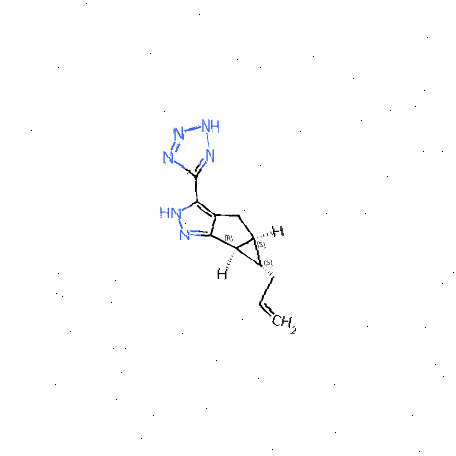 C=CC[C@H]1[C@@H]2Cc3c(n[nH]c3-c3nn[nH]n3)[C@H]12